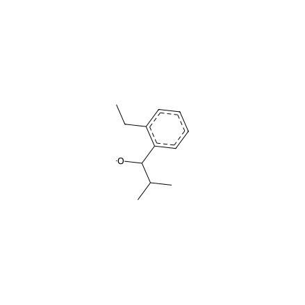 CCc1ccccc1C([O])C(C)C